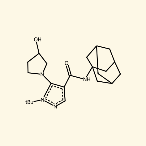 CC(C)(C)n1ncc(C(=O)NC23CC4CC(CC(C4)C2)C3)c1N1CCC(O)C1